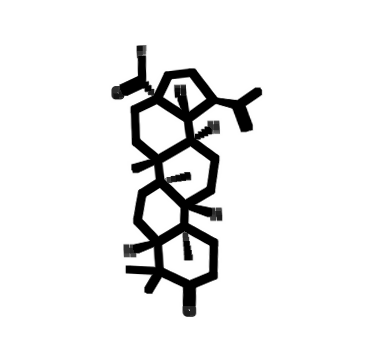 C=C(C)[C@@H]1CC[C@]2(C(=O)F)CC[C@]3(C)[C@H](CC[C@@H]4[C@@]5(C)CCC(=O)C(C)(C)[C@@H]5CC[C@]43C)[C@@H]12